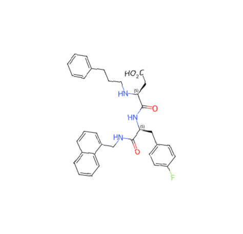 O=C(O)C[C@H](NCCCc1ccccc1)C(=O)N[C@@H](Cc1ccc(F)cc1)C(=O)NCc1cccc2ccccc12